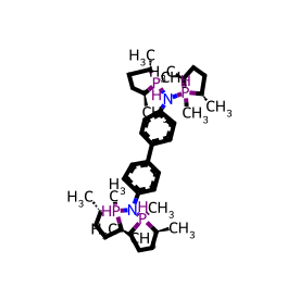 C[C@H]1CC[C@H](C)[PH]1(C)N(c1ccc(-c2ccc(N([PH]3(C)[C@@H](C)CC[C@@H]3C)[PH]3(C)[C@@H](C)CC[C@@H]3C)cc2)cc1)[PH]1(C)[C@@H](C)CC[C@@H]1C